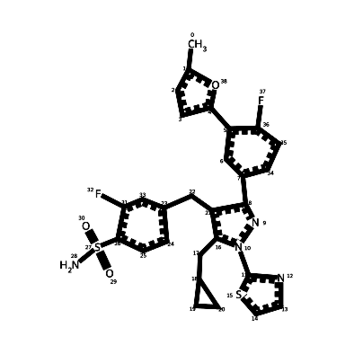 Cc1ccc(-c2cc(-c3nn(-c4nccs4)c(CC4CC4)c3Cc3ccc(S(N)(=O)=O)c(F)c3)ccc2F)o1